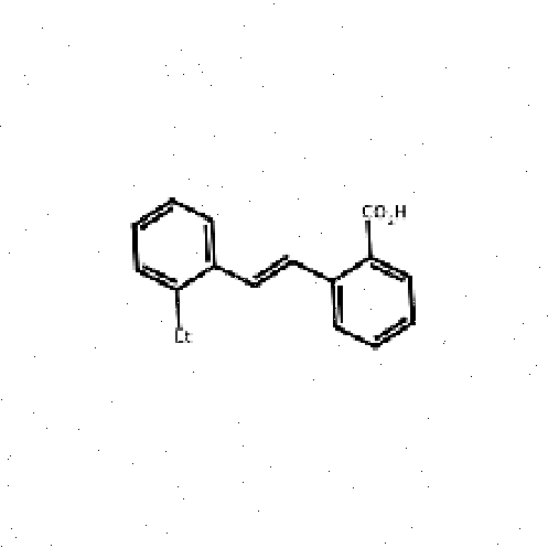 CCc1ccccc1/C=C/c1ccccc1C(=O)O